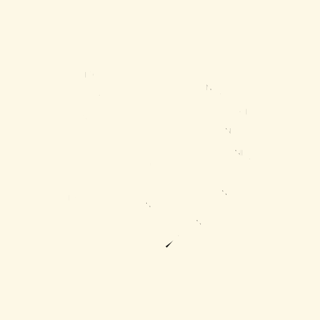 Cc1ccc(C(CC(=O)O)c2ccc(N(C)N)c(N)c2C(F)F)cc1CN1C[C@H]2CCCN2c2ncccc2[S+]1[O-]